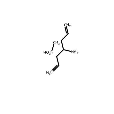 C=CCC(N)CC=C.CC(=O)O